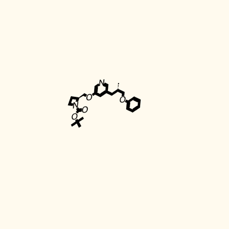 C[C@H](COc1ccccc1)Cc1cncc(OC[C@@H]2CCN2C(=O)OC(C)(C)C)c1